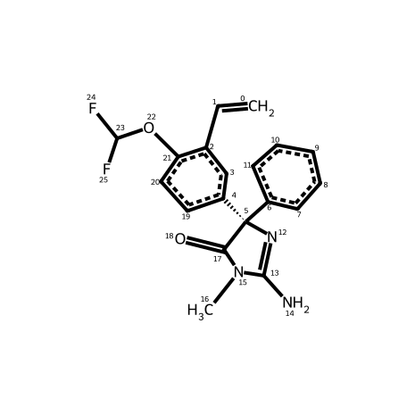 C=Cc1cc([C@]2(c3ccccc3)N=C(N)N(C)C2=O)ccc1OC(F)F